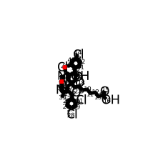 Cc1nn(C)c(C(CCCCCCCC(=O)O)(C(=O)O)c2c(C(=O)c3ccc(Cl)cc3Cl)c(C)nn2C)c1C(=O)c1ccc(Cl)cc1Cl